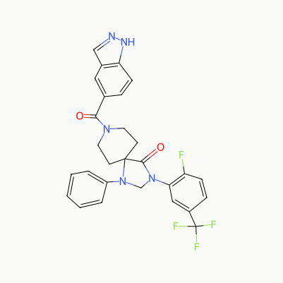 O=C(c1ccc2[nH]ncc2c1)N1CCC2(CC1)C(=O)N(c1cc(C(F)(F)F)ccc1F)CN2c1ccccc1